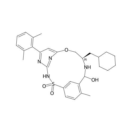 Cc1ccc2cc1C(O)N[C@H](CC1CCCCC1)COc1cc(-c3c(C)cccc3C)nc(n1)NS2(=O)=O